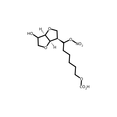 O=C(O)OCCCCCC(O[N+](=O)[O-])[C@@H]1CO[C@@H]2C(O)CO[C@@H]21